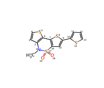 CN1c2ccsc2-c2sc(-c3cccs3)cc2S1(=O)=O